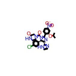 CC(C)Oc1cc([N+](=O)[O-])ccc1C1=N[C@@H](c2ncc[nH]2)[C@@H](c2ccc(Cl)cc2)N1C(=O)N1CCNC(=O)C1